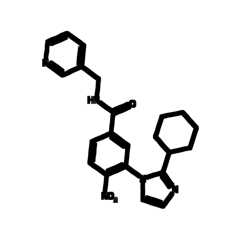 O=C(NCc1cccnc1)c1ccc([N+](=O)[O-])c(-n2ccnc2C2CCCCC2)c1